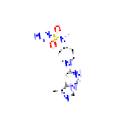 Cc1ncn2cnc(N3CCC(N(C)S(N)(=O)=O)CC3)cc12